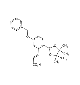 CC1(C)OB(c2ccc(OCc3ccccc3)cc2C=CC(=O)O)OC1(C)C